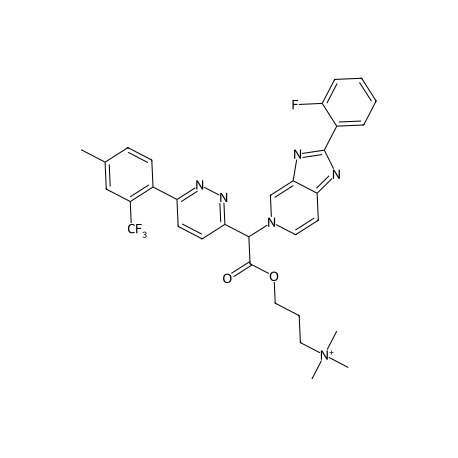 Cc1ccc(-c2ccc(C(C(=O)OCCC[N+](C)(C)C)n3ccc4nc(-c5ccccc5F)nc-4c3)nn2)c(C(F)(F)F)c1